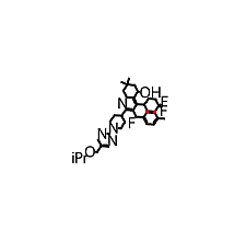 Cc1ccc(C(F)c2c(C3CCN(c4ncc(COC(C)C)cn4)CC3)nc3c(c2C2CCC(F)(F)CC2)C(O)CC(C)(C)C3)cc1